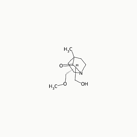 COC[C@]1(CO)C(=O)C2(C)CCN1CC2